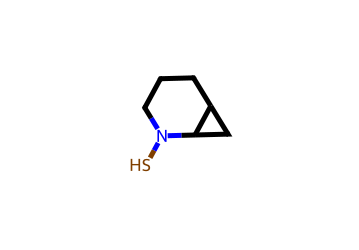 SN1CCCC2CC21